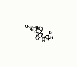 O=C(Nc1ncc(Cl)s1)[C@@H]1CCCN1c1nc(Nc2cc(C3CC3)[nH]n2)c2cccn2n1